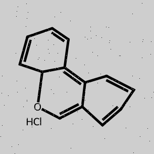 C1=CC2=c3ccccc3=COC2C=C1.Cl